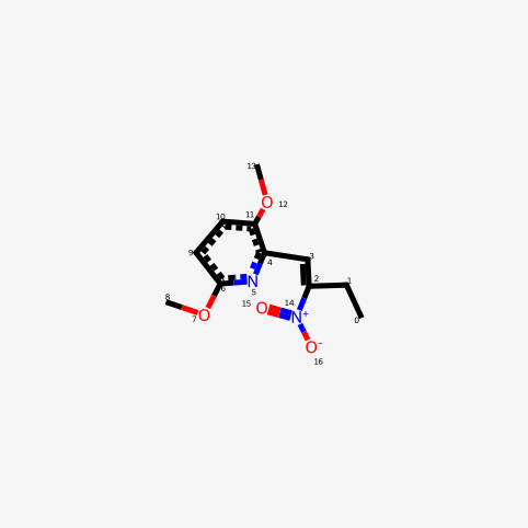 CCC(=Cc1nc(OC)ccc1OC)[N+](=O)[O-]